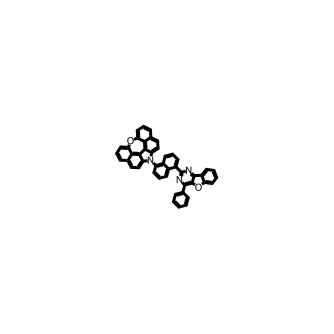 c1ccc(-c2nc(-c3cccc4c(-n5c6ccc7cccc8oc9cccc%10ccc5c(c%109)c6c78)cccc34)nc3c2oc2ccccc23)cc1